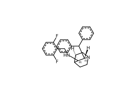 Fc1cccc(F)c1CN[C@@H]1C2CCN(CC2)[C@H]1C(c1ccccc1)c1ccccc1